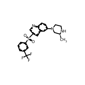 C[C@H]1CN(c2ccc3ncc(S(=O)(=O)c4cccc(C(F)(F)F)c4)cc3c2)CCN1